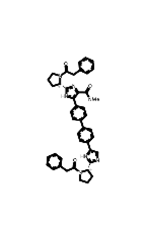 CNC(=O)c1nc([C@@H]2CCCN2C(=O)Cc2ccccc2)[nH]c1-c1ccc(-c2ccc(-c3cnc([C@@H]4CCCN4C(=O)Cc4ccccc4)[nH]3)cc2)cc1